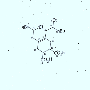 CCCCC(CC)CC1=C(CC(CC)CCCC)CC(C(=O)O)C(C(=O)O)C1